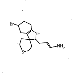 NC=CCC1NC2=C(CC(Br)CC2)C12CCSCC2